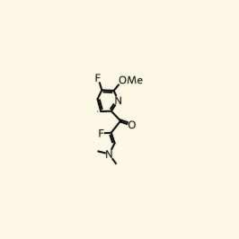 COc1nc(C(=O)/C(F)=C/N(C)C)[c]cc1F